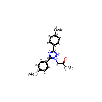 COC(=O)Cn1nc(-c2ccc(OC)cc2)nc1-c1ccc(OC)cc1